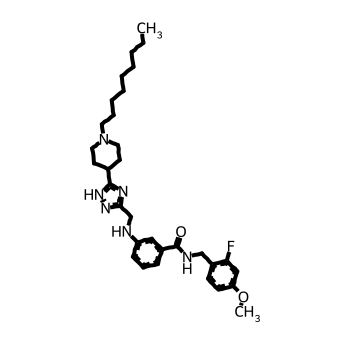 CCCCCCCCCN1CCC(c2nc(CNc3cccc(C(=O)NCc4ccc(OC)cc4F)c3)n[nH]2)CC1